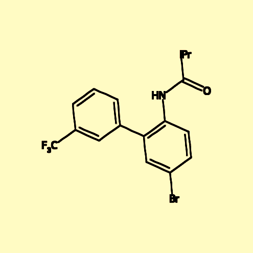 CC(C)C(=O)Nc1ccc(Br)cc1-c1cccc(C(F)(F)F)c1